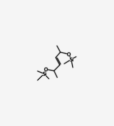 CC(C=CC(C)O[Si](C)(C)C)O[Si](C)(C)C